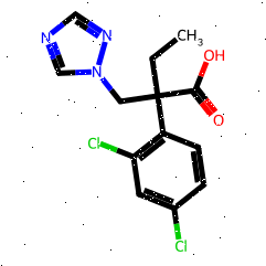 CCC(Cn1cncn1)(C(=O)O)c1ccc(Cl)cc1Cl